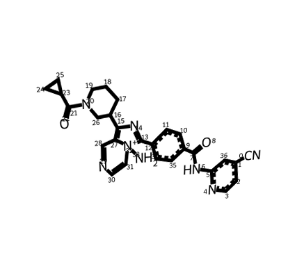 N#Cc1ccnc(NC(=O)c2ccc(C3=NC(C4CCCN(C(=O)C5CC5)C4)=C4C=NC=C[N+]34N)cc2)c1